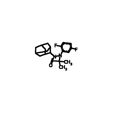 CC1(C)C(=O)N(C2C3CC4CC(C3)CC2C4)N1c1cc(F)ccc1F